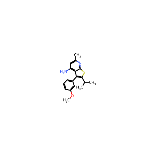 COc1cccc(-c2c(C(C)C)sc3nc(C)cc(N)c23)c1